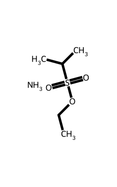 CCOS(=O)(=O)C(C)C.N